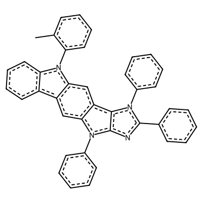 Cc1ccccc1-n1c2ccccc2c2cc3c(cc21)c1c(nc(-c2ccccc2)n1-c1ccccc1)n3-c1ccccc1